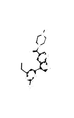 CCc1cc(-c2c[nH]c3ncc(C(=O)N4CCN(C)CC4)cc23)nc(N)n1